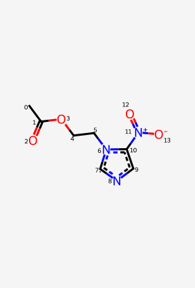 CC(=O)OCCn1[c]ncc1[N+](=O)[O-]